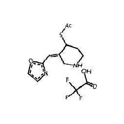 CC(=O)SC1CCNCC1=Cc1ncco1.O=C(O)C(F)(F)F